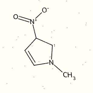 CN1[C]C([N+](=O)[O-])C=C1